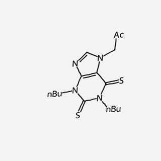 CCCCn1c(=S)c2c(ncn2CC(C)=O)n(CCCC)c1=S